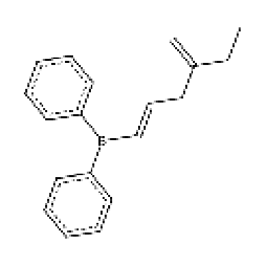 C=C(CC)C/C=C/B(c1ccccc1)c1ccccc1